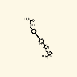 C[C@H](O)c1nccn1Cc1cc(-c2ccc(C#Cc3ccc(CNCC(N)=O)cc3)cn2)on1